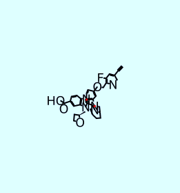 C#Cc1cnc(COc2cccc(N3CC4CCC(C3)N4Cc3nc4ccc(C(=O)O)cc4n3C[C@@H]3CCO3)c2)c(F)c1